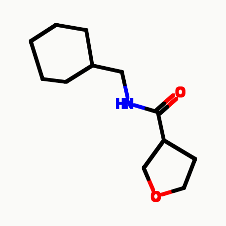 O=C(NCC1CCCCC1)C1CCOC1